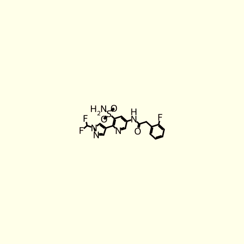 NS(=O)(=O)c1cc(NC(=O)Cc2ccccc2F)cnc1-c1cnn(C(F)F)c1